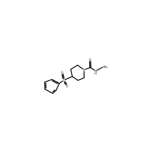 CC(C)(C)NC(=O)N1CCC(S(=O)(=O)c2ccccc2)CC1